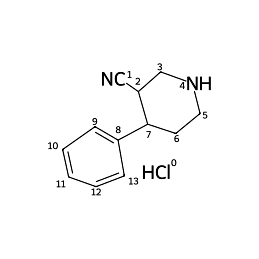 Cl.N#CC1CNCCC1c1ccccc1